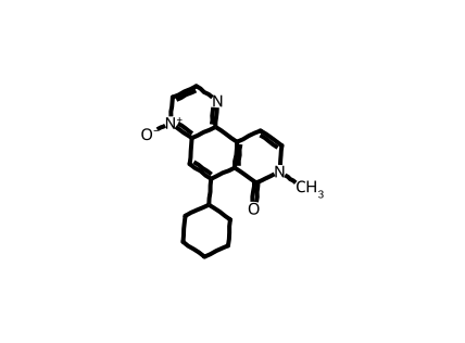 Cn1ccc2c(c(C3CCCCC3)cc3c2ncc[n+]3[O-])c1=O